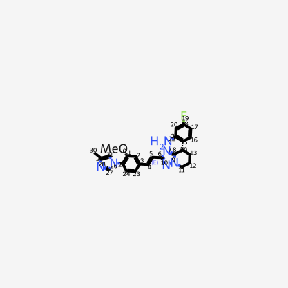 COc1cc(/C=C/c2nc3n(n2)CCC[C@H]3c2ccc(F)cc2N)ccc1-n1cnc(C)c1